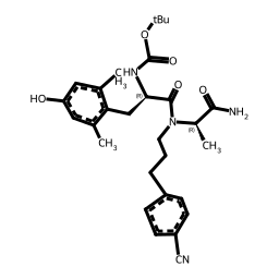 Cc1cc(O)cc(C)c1C[C@@H](NC(=O)OC(C)(C)C)C(=O)N(CCCc1ccc(C#N)cc1)[C@H](C)C(N)=O